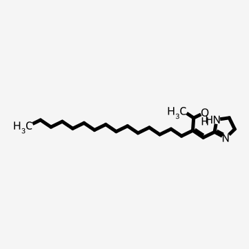 CCCCCCCCCCCCCCCC(=CC1=NCCN1)C(C)O